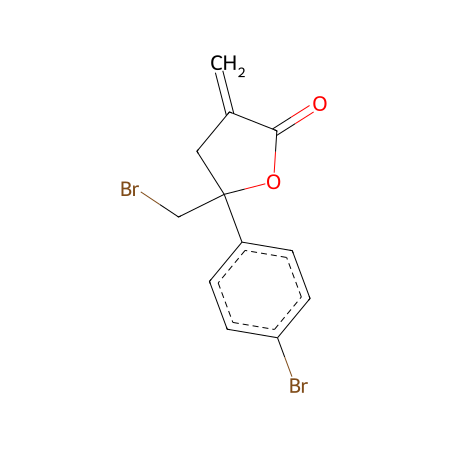 C=C1CC(CBr)(c2ccc(Br)cc2)OC1=O